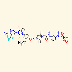 CCc1cc(N2C(=S)N(c3cnc(C#N)c(C(F)(F)F)c3)C(=O)C23CCC3)ccc1OCCN1C[C@H]2C[C@@H]1CN2CC(=O)Nc1cccc(NC2CCC(=O)NC2=O)c1